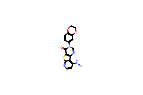 CCNc1ccnc2sc3c(=O)n(-c4ccc5c(c4)OCCO5)cnc3c12